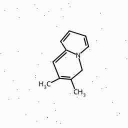 CC1=C(C)CN2C=CC=CC2=C1